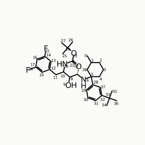 CC1CCCC(NCC(O)C(Cc2cc(F)cc(F)c2)NC(=O)OC(C)(C)C)(c2cccc(C(C)(C)C)c2)C1